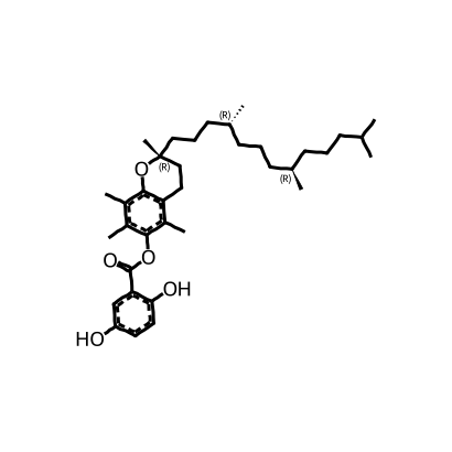 Cc1c(C)c2c(c(C)c1OC(=O)c1cc(O)ccc1O)CC[C@@](C)(CCC[C@H](C)CCC[C@H](C)CCCC(C)C)O2